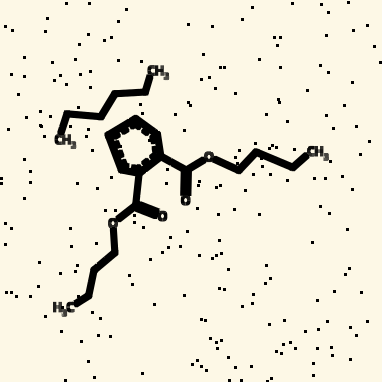 CCCCCC.CCCCOC(=O)c1ccccc1C(=O)OCCCC